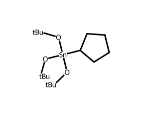 CC(C)(C)[O][Sn]([O]C(C)(C)C)([O]C(C)(C)C)[CH]1CCCC1